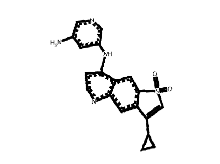 Nc1cncc(Nc2ccnc3cc4c(cc23)S(=O)(=O)C=C4C2CC2)c1